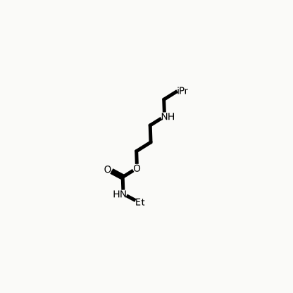 CCNC(=O)OCCCNCC(C)C